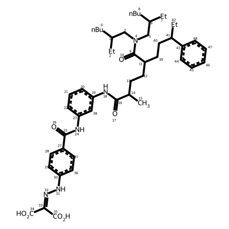 CCCCC(CC)CN(CC(CC)CCCC)C(=O)C(CCC(C)C(=O)Nc1cccc(NC(=O)c2ccc(NN=C(C(=O)O)C(=O)O)cc2)c1)CCC(CC)c1ccccc1